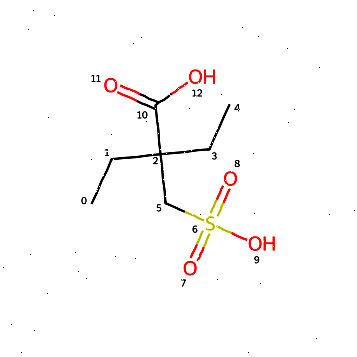 CCC(CC)(CS(=O)(=O)O)C(=O)O